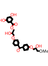 COCC(O)COc1ccc(C(=O)c2ccc(OCC(O)COC(=O)c3cc(O)cc(O)c3)cc2)cc1